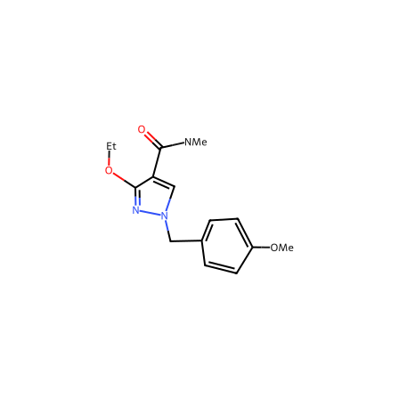 CCOc1nn(Cc2ccc(OC)cc2)cc1C(=O)NC